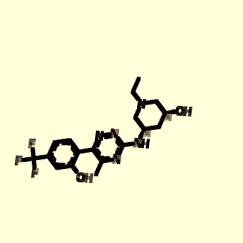 CCN1C[C@@H](O)C[C@@H](Nc2nnc(-c3ccc(C(F)(F)F)cc3O)c(C)n2)C1